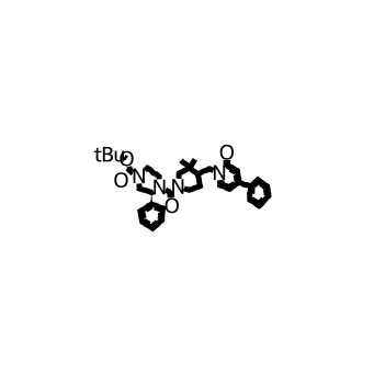 CC(C)(C)OC(=O)N1CCN(C(=O)N2CCC(Cn3ccc(-c4ccccc4)cc3=O)C(C)(C)C2)[C@H](c2ccccc2)C1